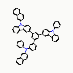 c1ccc(N(c2cccc(-c3cc(-c4ccc5c(c4)c4ccccc4n5-c4ccccc4)cc(-c4ccc5c(c4)c4ccccc4n5-c4ccc5ccccc5c4)c3)c2)c2ccc3ccccc3c2)cc1